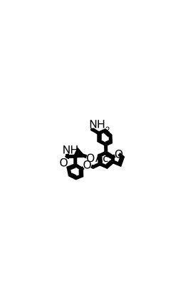 CC(=O)OC1CC1(C(N)=O)c1ccccc1OCc1cc(-c2cccc(CN)c2)c2occc2c1